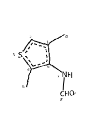 Cc1csc(C)c1N[C]=O